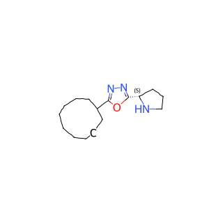 C1CCCCC(c2nnc([C@@H]3CCCN3)o2)CCCC1